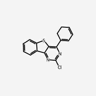 Clc1nc(C2=CC=CCC2)c2sc3ccccc3c2n1